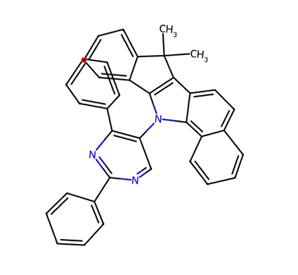 CC1(C)c2ccccc2-c2c1c1ccc3ccccc3c1n2-c1cnc(-c2ccccc2)nc1-c1ccccc1